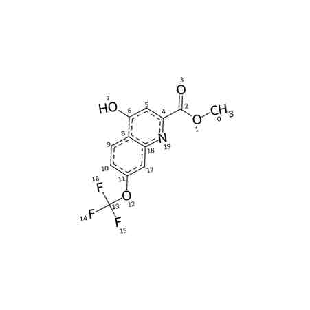 COC(=O)c1cc(O)c2ccc(OC(F)(F)F)cc2n1